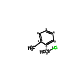 Cc1ccccc1.O=S(=O)(O)Cl